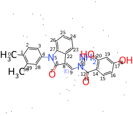 Cc1ccc(N2C(=O)/C(=C/N(N)C(=O)c3ccc(O)cc3O)c3ccccc32)cc1C